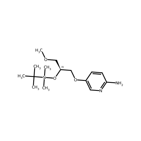 COC[C@@H](COc1ccc(N)nc1)O[Si](C)(C)C(C)(C)C